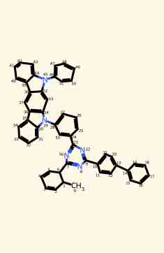 CC1C=CC=CC1c1nc(-c2ccc(-c3ccccc3)cc2)nc(-c2cccc(-n3c4ccccc4c4cc5c6ccccc6n(-c6ccccc6)c5cc43)c2)n1